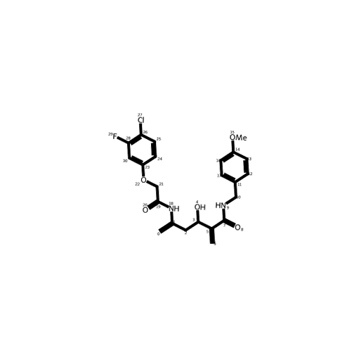 C=C(CC(O)C(=C)C(=O)NCc1ccc(OC)cc1)NC(=O)COc1ccc(Cl)c(F)c1